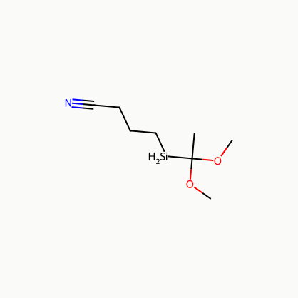 COC(C)(OC)[SiH2]CCCC#N